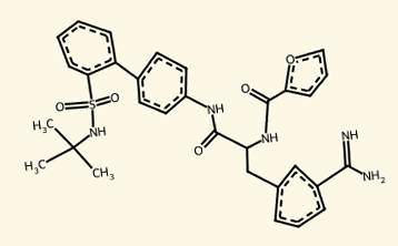 CC(C)(C)NS(=O)(=O)c1ccccc1-c1ccc(NC(=O)C(Cc2cccc(C(=N)N)c2)NC(=O)c2ccco2)cc1